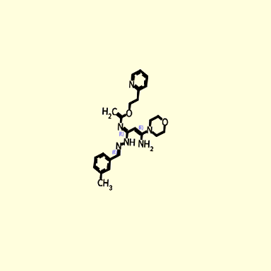 C=C(/N=C(\C=C(/N)N1CCOCC1)N/N=C/c1cccc(C)c1)OCCc1ccccn1